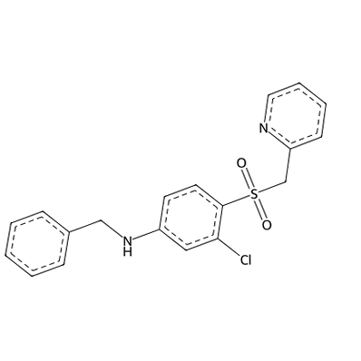 O=S(=O)(Cc1ccccn1)c1ccc(NCc2ccccc2)cc1Cl